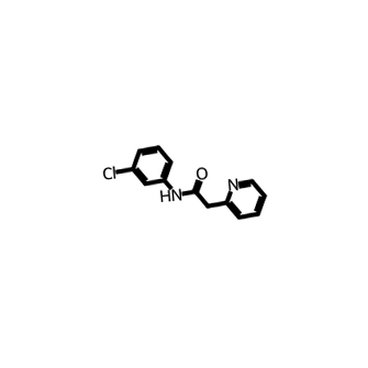 O=C(Cc1ccccn1)Nc1cccc(Cl)c1